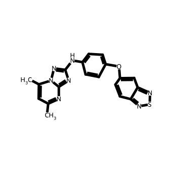 Cc1cc(C)n2nc(Nc3ccc(Oc4ccc5nsnc5c4)cc3)nc2n1